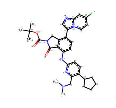 CN(C)Cc1nc(Nc2ccc(-c3cnc4cc(F)ccn34)c3c2C(=O)N(C(=O)OC(C)(C)C)C3)ccc1C1CCCC1